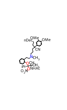 CCCCCCCCCCCCC(C#N)(CCCN(C)CCc1ccccc1OC(O[N+](=O)[O-])(C(C)C)C(C)(C)NC(C)=O)c1ccc(OC)c(OC)c1